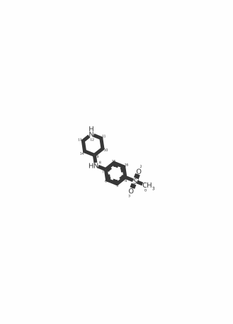 CS(=O)(=O)c1ccc(NC2CCNCC2)cc1